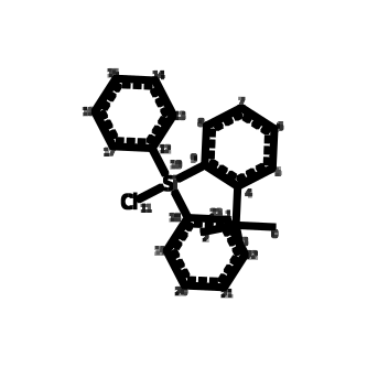 CC(C)(C)c1ccccc1[Si](Cl)(c1ccccc1)c1ccccc1